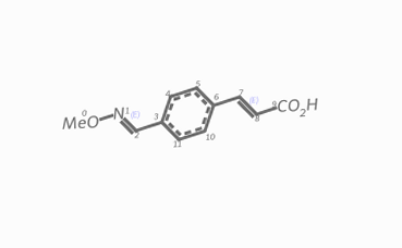 CO/N=C/c1ccc(/C=C/C(=O)O)cc1